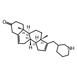 C[C@]12CCC(=O)CC1=CC[C@@H]1[C@@H]2CC[C@]2(C)C(CC3CCCNC3)=CC[C@@H]12